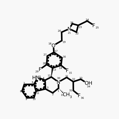 C[C@@H]1Cc2c([nH]c3ccccc23)[C@@H](c2c(F)cc(OCCN3CC(CF)C3)cc2F)N1CC(CO)CF